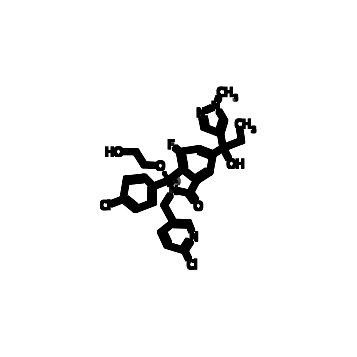 CCC(O)(c1cc(F)c2c(c1)C(=O)N(Cc1ccc(Cl)nc1)[C@@]2(OCCO)c1ccc(Cl)cc1)c1cnn(C)c1